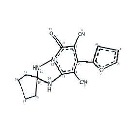 N#Cc1c(-c2ccco2)c(C#N)c(=O)n2c1NC1(CCCC1)N2